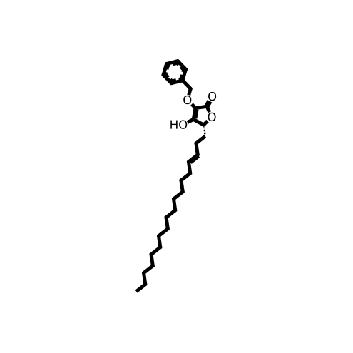 CCCCCCCCCCCCCCC=CCC[C@H]1OC(=O)C(OCc2ccccc2)=C1O